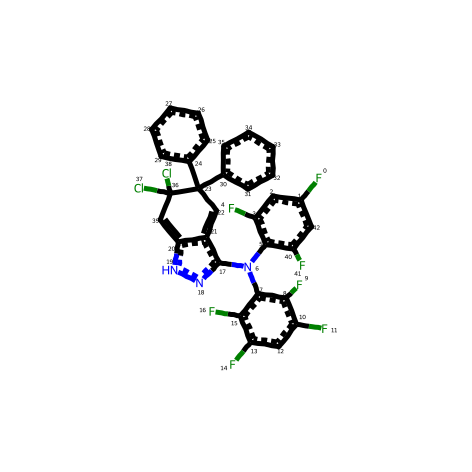 Fc1cc(F)c(N(c2c(F)c(F)cc(F)c2F)c2n[nH]c3c2=CC(c2ccccc2)(c2ccccc2)C(Cl)(Cl)C=3)c(F)c1